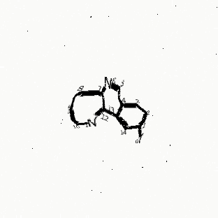 Ic1ccc2cnc3cccnc3c2c1